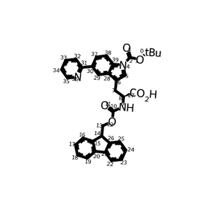 CC(C)(C)OC(=O)n1cc(C[C@H](NC(=O)OCC2c3ccccc3-c3ccccc32)C(=O)O)c2cc(-c3ccccn3)ccc21